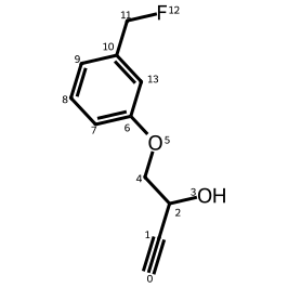 C#CC(O)COc1cccc(CF)c1